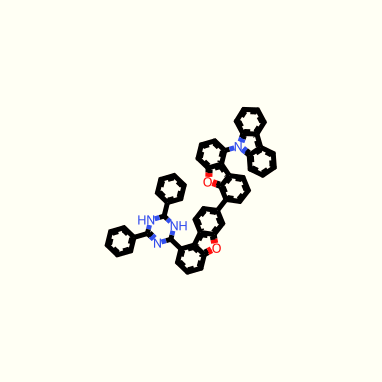 c1ccc(C2=NC(c3cccc4oc5cc(-c6cccc7c6oc6cccc(-n8c9ccccc9c9ccccc98)c67)ccc5c34)NC(c3ccccc3)N2)cc1